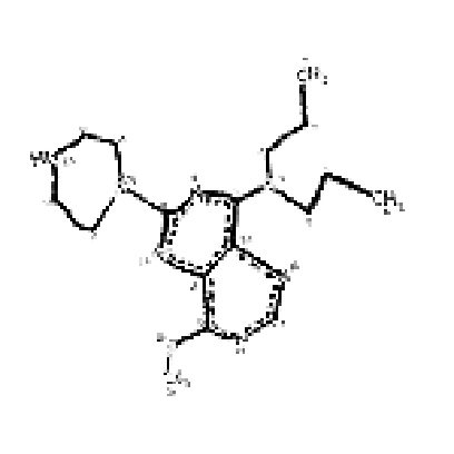 CCCN(CCC)c1nc(N2CCNCC2)nc2c(SC)ncnc12